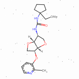 COCC1(NC(=O)N[C@H]2CO[C@H]3[C@@H]2OC[C@@H]3Oc2cccnc2C)CCCC1